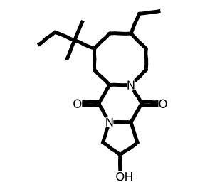 CCC1CCN2C(=O)C3CC(O)CN3C(=O)C2CC(C(C)(C)CC)C1